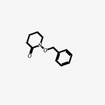 O=C1[CH]CCCN1OCc1ccccc1